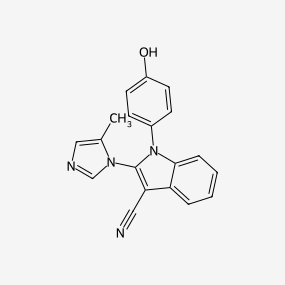 Cc1cncn1-c1c(C#N)c2ccccc2n1-c1ccc(O)cc1